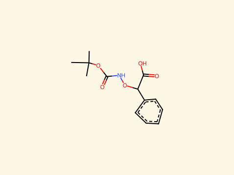 CC(C)(C)OC(=O)NOC(C(=O)O)c1ccccc1